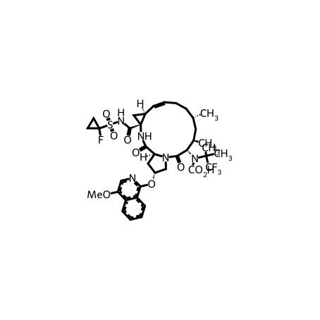 COc1cnc(O[C@@H]2C[C@H]3C(=O)N[C@]4(C(=O)NS(=O)(=O)C5(F)CC5)C[C@H]4C=CCC[C@H](C)C[C@@H](C)[C@H](N(C(=O)O)C(C)(C)C(F)(F)F)C(=O)N3C2)c2ccccc12